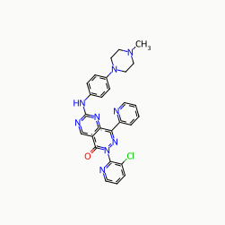 CN1CCN(c2ccc(Nc3ncc4c(=O)n(-c5ncccc5Cl)nc(-c5ccccn5)c4n3)cc2)CC1